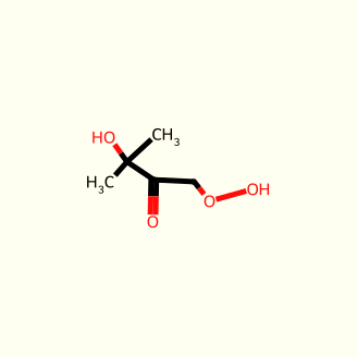 CC(C)(O)C(=O)COO